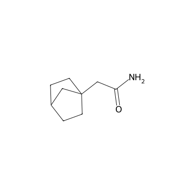 NC(=O)CC12CCC(CC1)C2